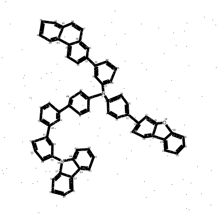 c1cc(-c2ccc(N(c3ccc(-c4ccc5c(c4)oc4ccccc45)cc3)c3cccc(-c4ccc5c(ccc6ccccc65)c4)c3)cc2)cc(-c2cccc(-n3c4ccccc4c4ccccc43)c2)c1